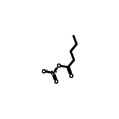 CCCCC(=O)O[N+](=O)[O-]